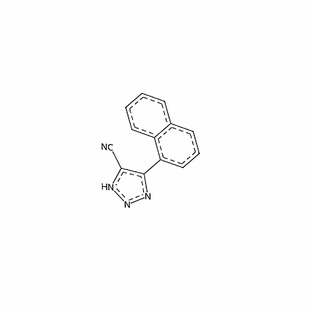 N#Cc1[nH]nnc1-c1cccc2ccccc12